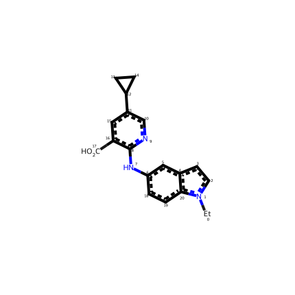 CCn1ccc2cc(Nc3ncc(C4CC4)cc3C(=O)O)ccc21